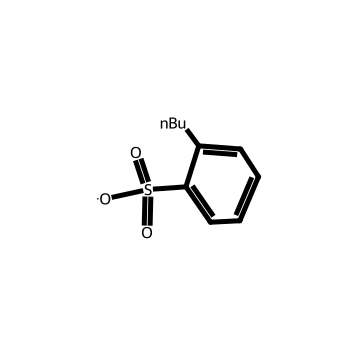 CCCCc1ccccc1S([O])(=O)=O